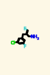 NC/C(=C/F)Cc1cc(F)cc(Cl)c1